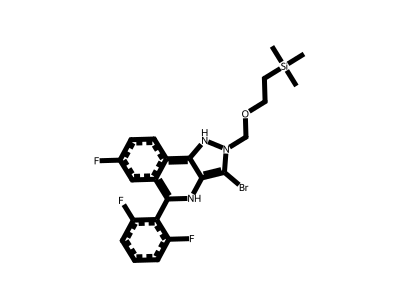 C[Si](C)(C)CCOCN1NC2=c3ccc(F)cc3=C(c3c(F)cccc3F)NC2=C1Br